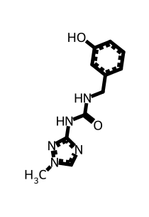 Cn1cnc(NC(=O)NCc2cccc(O)c2)n1